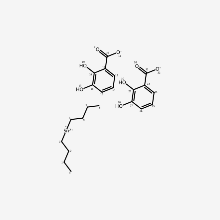 CCC[CH2][Sn+2][CH2]CCC.O=C([O-])c1cccc(O)c1O.O=C([O-])c1cccc(O)c1O